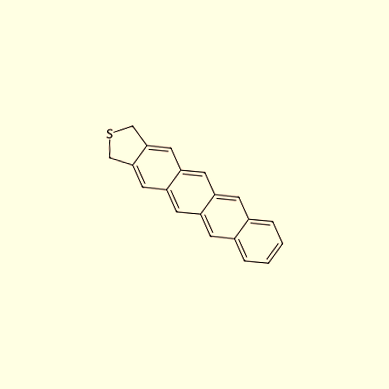 c1ccc2cc3cc4cc5c(cc4cc3cc2c1)CSC5